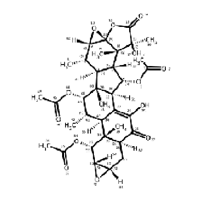 CC(=O)O[C@H]1[C@@H]2[C@H]([C@H](C)[C@@H]3O[C@]34OC(=O)[C@@](C)(O)[C@]24C)[C@]2(C)[C@@H]1C1=C(O)C(=O)[C@H]3C[C@@H]4O[C@@H]4[C@H](OC(C)=O)[C@]3(C)[C@H]1[C@H](C)[C@@H]2OC(C)=O